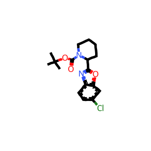 CC(C)(C)OC(=O)N1CCCCC1c1nc2ccc(Cl)cc2o1